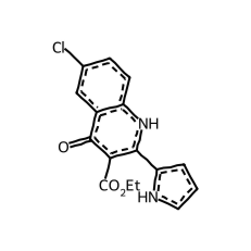 CCOC(=O)c1c(-c2ccc[nH]2)[nH]c2ccc(Cl)cc2c1=O